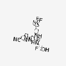 CC(C)(O)[C@H](F)CNC(=O)c1cnc(-c2ccc3cc(C#N)cnn23)cc1NC1CCC(c2cnc(C(F)F)s2)CC1